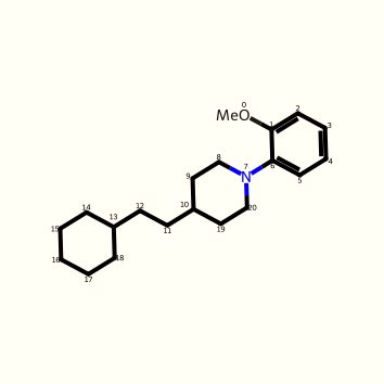 COc1ccccc1N1CCC(CCC2CCCCC2)CC1